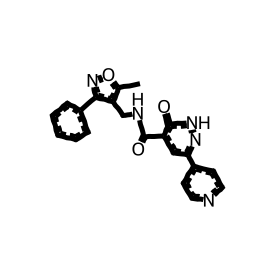 Cc1onc(-c2ccccc2)c1CNC(=O)c1cc(-c2ccncc2)n[nH]c1=O